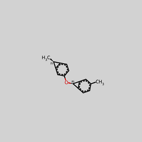 Cc1ccc2c(c1)[C@@H]2Oc1ccc2c(c1)[C@H]2C